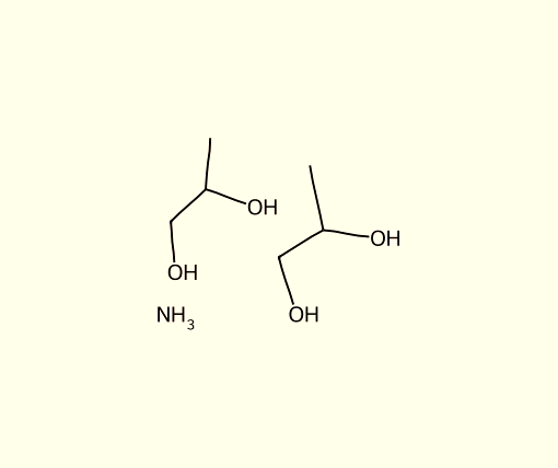 CC(O)CO.CC(O)CO.N